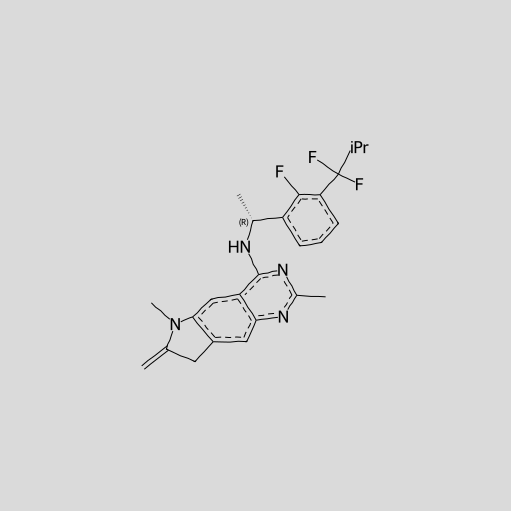 C=C1Cc2cc3nc(C)nc(N[C@H](C)c4cccc(C(F)(F)C(C)C)c4F)c3cc2N1C